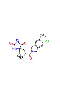 Cc1cc2c(cc1Cl)CN(C(=O)[C@H](C)C[C@@]1(C3CC3)NC(=O)NC1=O)C2